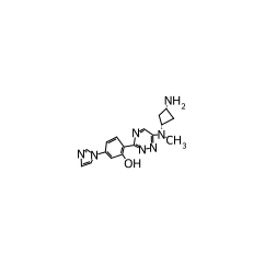 CN(c1cnc(-c2ccc(-n3ccnc3)cc2O)nn1)[C@H]1C[C@@H](N)C1